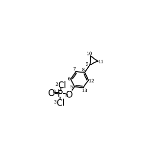 O=P(Cl)(Cl)Oc1ccc(C2CC2)cc1